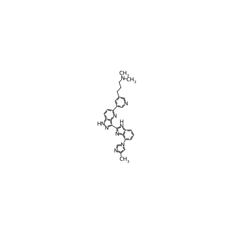 Cc1cn(-c2cccc3[nH]c(-c4n[nH]c5ccc(-c6cncc(CCCN(C)C)c6)nc45)nc23)cn1